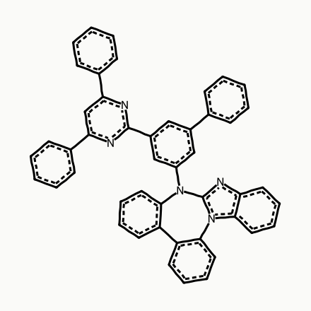 c1ccc(-c2cc(-c3nc(-c4ccccc4)cc(-c4ccccc4)n3)cc(N3c4ccccc4-c4ccccc4-n4c3nc3ccccc34)c2)cc1